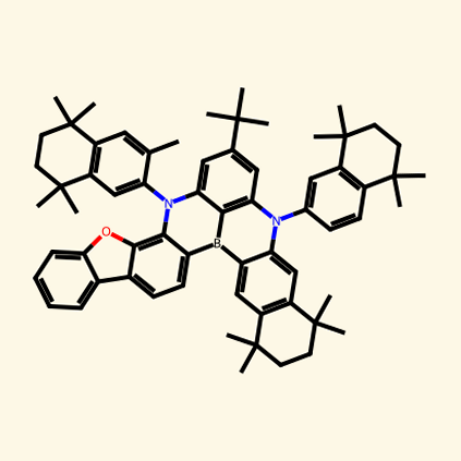 Cc1cc2c(cc1N1c3cc(C(C)(C)C)cc4c3B(c3cc5c(cc3N4c3ccc4c(c3)C(C)(C)CCC4(C)C)C(C)(C)CCC5(C)C)c3ccc4c(oc5ccccc54)c31)C(C)(C)CCC2(C)C